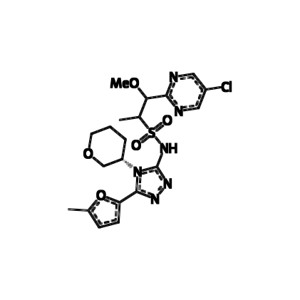 COC(c1ncc(Cl)cn1)C(C)S(=O)(=O)Nc1nnc(-c2ccc(C)o2)n1[C@H]1CCCOC1